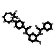 O=C(Nc1ccc(Cl)c(NC(=O)c2ccccc2)c1)c1ccc(N2CCCCCS2(=O)=O)cc1